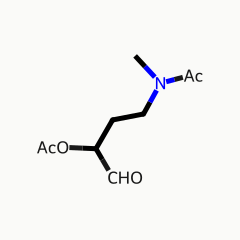 CC(=O)OC(C=O)CCN(C)C(C)=O